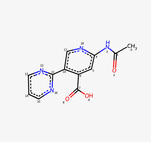 CC(=O)Nc1cc(C(=O)O)c(-c2ncccn2)cn1